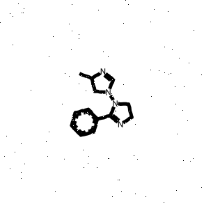 CC1CN(N2CCN=C2c2ccccc2)C=N1